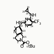 CC(C)(C)OC(=O)N1CCc2ncc(Nc3ncc(C(F)(F)F)c(NC4CC4)n3)cc2C1